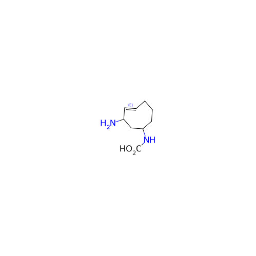 NC1/C=C/CCCC(NC(=O)O)C1